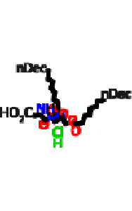 CCCCCCCCCCCCCCCCCC(=O)OCC(CNC(=O)C(N)CC(=O)O)OC(=O)CCCCCCCCCCCCCCCCC.Cl